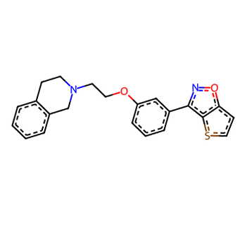 c1cc(OCCN2CCc3ccccc3C2)cc(-c2noc3ccsc23)c1